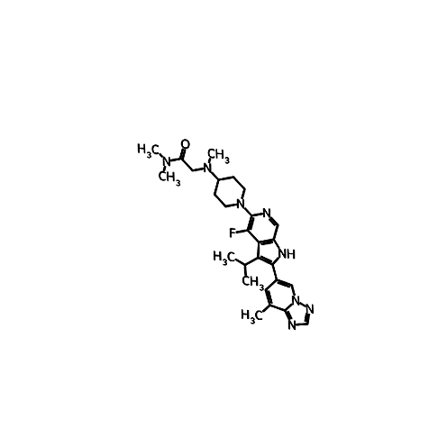 Cc1cc(-c2[nH]c3cnc(N4CCC(N(C)CC(=O)N(C)C)CC4)c(F)c3c2C(C)C)cn2ncnc12